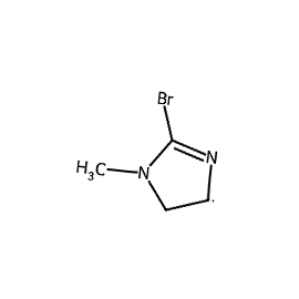 CN1C[CH]N=C1Br